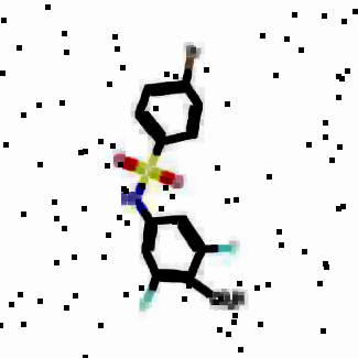 O=C(O)c1c(F)cc(NS(=O)(=O)c2ccc(Br)cc2)cc1F